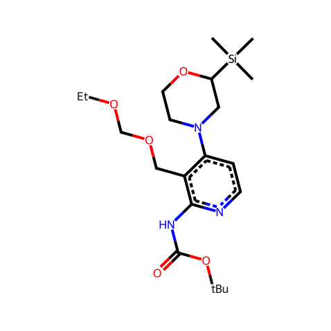 CCOCOCc1c(N2CCOC([Si](C)(C)C)C2)ccnc1NC(=O)OC(C)(C)C